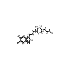 CCCCC1CCN(CCCn2cnc3cc(C)c(C)cc32)CC1